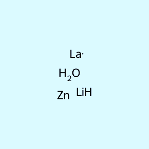 O.[La].[LiH].[Zn]